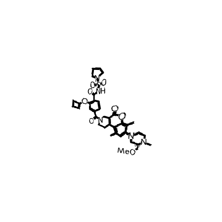 COC[C@H]1CN(c2cc(C)c3c4c(c(=O)oc3c2C)CN(C(=O)c2ccc(C(=O)NS(=O)(=O)N3CCCC3)c(OC3CCC3)c2)CC4)CCN1C